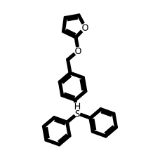 c1ccc([SH](c2ccccc2)c2ccc(COc3ccco3)cc2)cc1